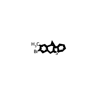 Cc1cc(C2CC2)c(Cc2cc3ccccc3s2)cc1Br